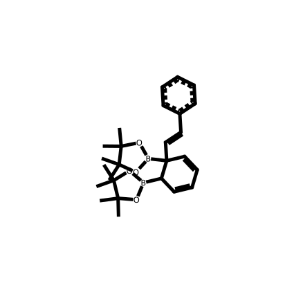 CC1(C)OB(C2C=CC=CC2(C=Cc2ccccc2)B2OC(C)(C)C(C)(C)O2)OC1(C)C